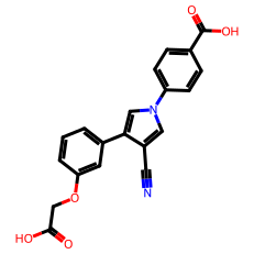 N#Cc1cn(-c2ccc(C(=O)O)cc2)cc1-c1cccc(OCC(=O)O)c1